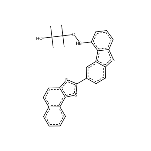 CC(C)(O)C(C)(C)OBc1cccc2sc3ccc(-c4nc5ccc6ccccc6c5s4)cc3c12